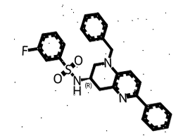 O=S(=O)(N[C@@H]1Cc2nc(-c3ccccc3)ccc2N(Cc2ccccc2)C1)c1cccc(F)c1